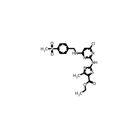 CCOC(=O)c1sc(Nc2nc(Cl)cc(NCc3ccc(S(C)(=O)=O)cc3)n2)nc1C